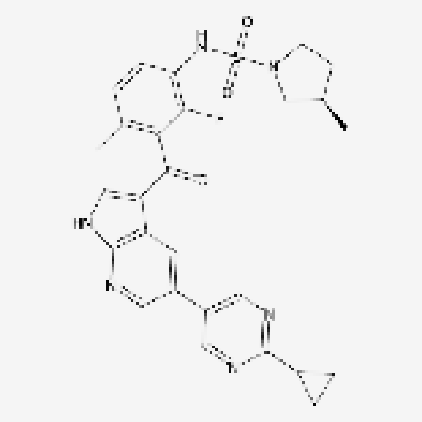 Cc1ccc(NS(=O)(=O)N2CC[C@@H](C)C2)c(F)c1C(=O)c1c[nH]c2ncc(-c3cnc(C4CC4)nc3)cc12